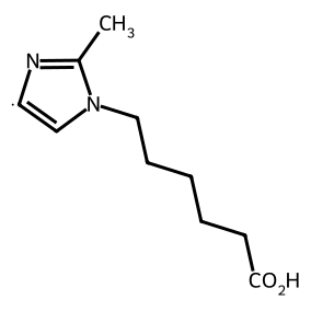 Cc1n[c]cn1CCCCCC(=O)O